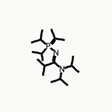 CC(C)=P(N=C(C(C)C)N(C(C)C)C(C)C)(C(C)C)C(C)C